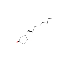 CCCCCC/C=C/[C@@H]1CC(=O)C[C@@H]1O